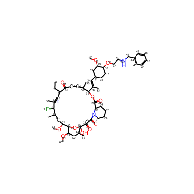 CCC1/C=C(\C)C(F)C(C)CC(OC)C2OC(O)(C(=O)C(=O)N3CCCCC3C(=O)OC(C(C)=CC3CCC(OCCNCc4ccccc4)C(OC)C3)C(C)CCC1=O)C(C)CC2OC